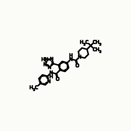 Cc1ccc(NC(=O)c2ccc(NC(=O)N3CCC(C(C)(C)C)CC3)cc2-c2nn[nH]n2)nc1